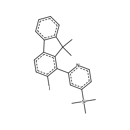 CC1(C)c2ccccc2-c2ccc(I)c(-c3cc([Si](C)(C)C)ccn3)c21